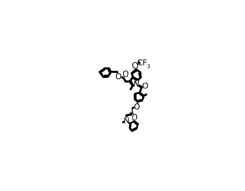 Cc1cc(OC[C@@H]2CN(C)c3ccccc3O2)ccc1C(=O)n1c(C)c(CC(=O)OCc2ccccc2)c2cc(OC(F)(F)F)ccc21